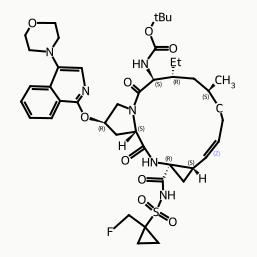 CC[C@@H]1C[C@@H](C)CC/C=C\[C@@H]2C[C@@]2(C(=O)NS(=O)(=O)C2(CF)CC2)NC(=O)[C@@H]2C[C@@H](Oc3ncc(N4CCOCC4)c4ccccc34)CN2C(=O)[C@H]1NC(=O)OC(C)(C)C